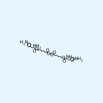 Nc1ccc(CC(N)C(=O)OCCCCCC(=O)OCOC(=O)CCCCCOC(=O)C(N)Cc2ccc(N)cc2)cc1